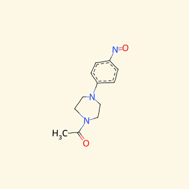 CC(=O)N1CCN(c2ccc(N=O)cc2)CC1